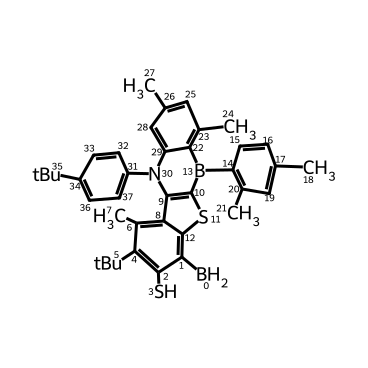 Bc1c(S)c(C(C)(C)C)c(C)c2c3c(sc12)B(c1ccc(C)cc1C)c1c(C)cc(C)cc1N3c1ccc(C(C)(C)C)cc1